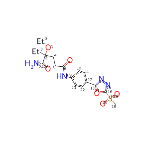 CCOC(CC)(CCC(=O)Nc1ccc(-c2nnc(S(C)(=O)=O)o2)cc1)C(N)=O